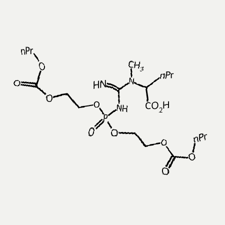 CCCOC(=O)OCCOP(=O)(NC(=N)N(C)C(CCC)C(=O)O)OCCOC(=O)OCCC